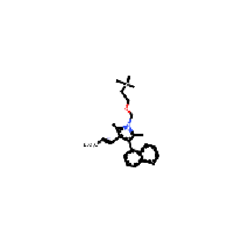 CCOC(=O)/C=C/c1c(-c2cccc3ccccc23)c(C)n(COCC[Si](C)(C)C)c1C